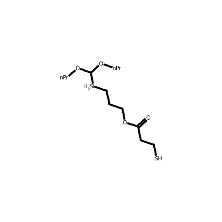 CCCOC(OCCC)[SiH2]CCCOC(=O)CCS